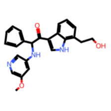 COc1cncc(NC(C(=O)c2c[nH]c3c(CCO)cccc23)c2ccccc2)c1